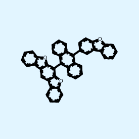 c1ccc2c(c1)oc1ccc(-c3c4ccccc4c(-c4c5oc6ccccc6c5cc5c4oc4ccccc45)c4ccccc34)cc12